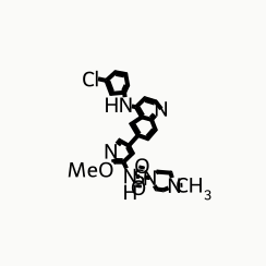 COc1ncc(-c2ccc3nccc(Nc4cccc(Cl)c4)c3c2)cc1NS(=O)(=O)N1CCN(C)CC1